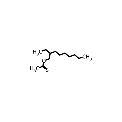 CCCCCCCC(CC)COC(C)=S